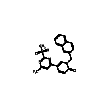 CS(=O)(=O)c1nc(-c2ccc(=O)n(Cc3ccc4ccccc4c3)c2)cc(C(F)(F)F)n1